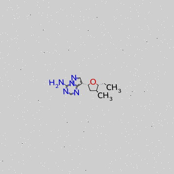 CC[C@H]1O[C@@H](c2cnn3c(N)ncnc23)C[C@@H]1C